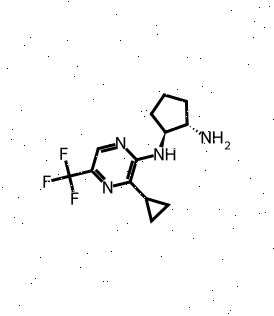 N[C@H]1CCC[C@@H]1Nc1ncc(C(F)(F)F)nc1C1CC1